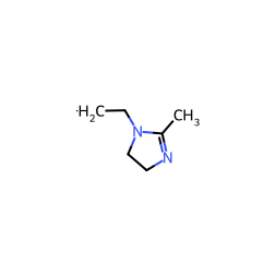 [CH2]CN1CCN=C1C